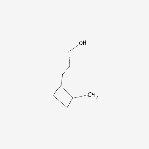 CC1CCC1CCCO